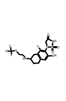 O=C1CN(c2c(O)cc3c(c2F)CC(NCCOC(F)(F)F)CC3)S(=O)(=O)N1